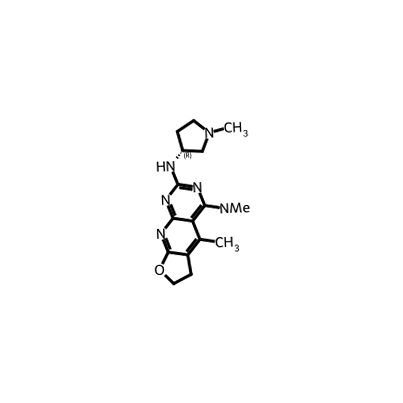 CNc1nc(N[C@@H]2CCN(C)C2)nc2nc3c(c(C)c12)CCO3